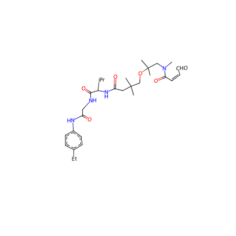 CCc1ccc(NC(=O)CNC(=O)C(NC(=O)CC(C)(C)COC(C)(C)CN(C)C(=O)/C=C\C=O)C(C)C)cc1